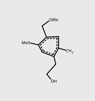 COCc1cc(C)c(CCO)cc1SC